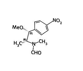 CO[C@H](c1ccc([N+](=O)[O-])cc1)[C@@H](C)N(C)C=O